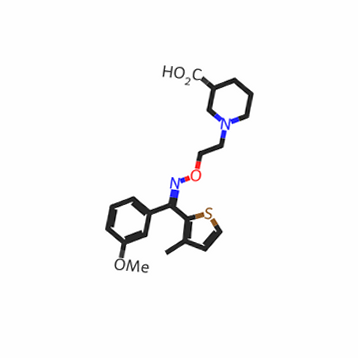 COc1cccc(C(=NOCCN2CCCC(C(=O)O)C2)c2sccc2C)c1